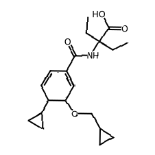 CCC(CC)(NC(=O)C1=CC(OCC2CC2)C(C2CC2)C=C1)C(=O)O